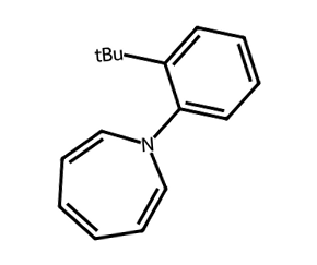 CC(C)(C)c1ccccc1N1C=CC=CC=C1